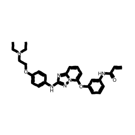 C=CC(=O)Nc1cccc(Oc2cccc3nc(Nc4ccc(OCCN(CC)CC)cc4)nn23)c1